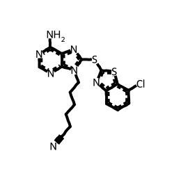 N#CCCCCCn1c(Sc2nc3cccc(Cl)c3s2)nc2c(N)ncnc21